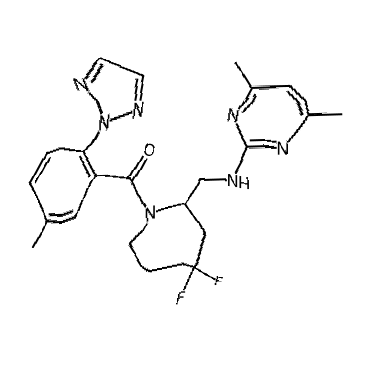 Cc1ccc(-n2nccn2)c(C(=O)N2CCC(F)(F)CC2CNc2nc(C)cc(C)n2)c1